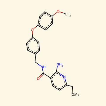 COCc1ccc(C(=O)NCc2ccc(Oc3ccc(OC(F)(F)F)cc3)cc2)c(N)n1